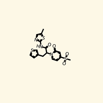 Cc1cnc(NC(=O)C(Cc2ccsc2)n2ccc(S(C)(=O)=O)cc2=O)s1